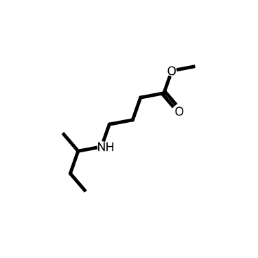 CCC(C)NCCCC(=O)OC